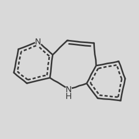 C1=Cc2ncccc2Nc2ccccc21